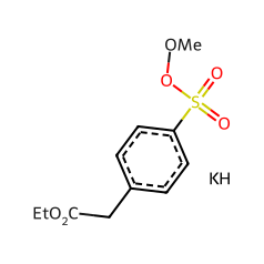 CCOC(=O)Cc1ccc(S(=O)(=O)OOC)cc1.[KH]